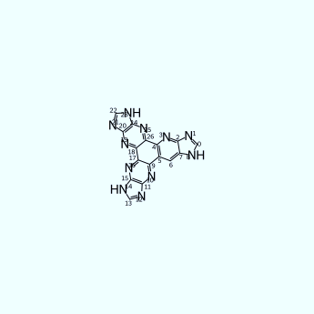 c1nc2nc3c(cc2[nH]1)c1nc2nc[nH]c2nc1c1nc2nc[nH]c2nc31